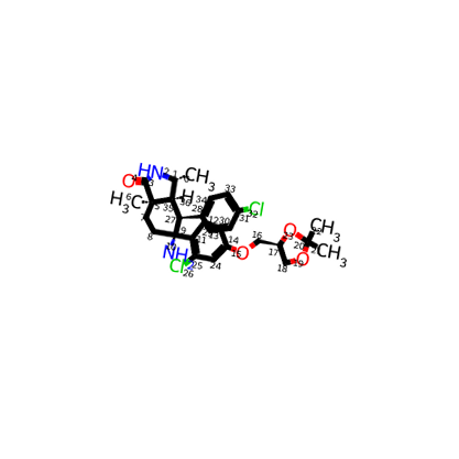 C[C@H]1NC(=O)[C@]2(C)CC[C@@](N)(c3ccc(OC[C@@H]4COC(C)(C)O4)cc3Cl)[C@H](c3ccc(Cl)cc3)[C@H]12